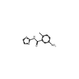 O=C(Nc1nccs1)c1cc([N+](=O)[O-])ccc1I